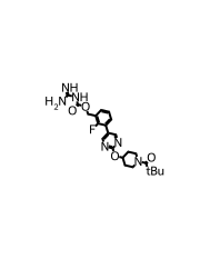 CC(C)(C)C(=O)N1CCC(Oc2ncc(-c3cccc(COC(=O)NC(=N)N)c3F)cn2)CC1